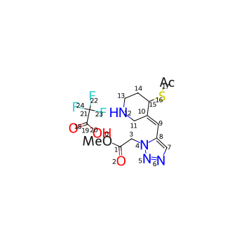 COC(=O)Cn1nncc1C=C1CNCCC1SC(C)=O.O=C(O)C(F)(F)F